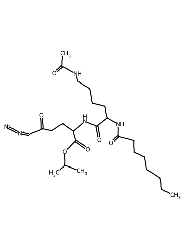 CCCCCCCC(=O)NC(CCCCNC(C)=O)C(=O)NC(CCC(=O)C=[N+]=[N-])C(=O)OC(C)C